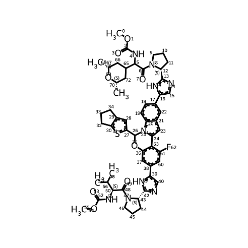 COC(=O)NC(C(=O)N1CCC[C@H]1c1ncc(-c2ccc3c(c2)cc2n3C(c3cc4c(s3)CCC4)Oc3cc(-c4cnc([C@@H]5CCCN5C(=O)[C@@H](NC(=O)OC)C(C)C)[nH]4)cc(F)c3-2)[nH]1)C1C[C@@H](C)O[C@@H](C)C1